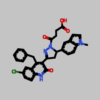 Cn1ccc2cc(C3CC(c4c(Cc5ccccc5)c5cc(Cl)ccc5[nH]c4=O)=NN3C(=O)CCC(=O)O)ccc21